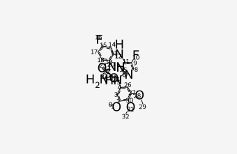 COc1cc(Nc2ncc(F)c(Nc3cc(F)ccc3NS(N)(=O)=O)n2)cc(OC)c1OC